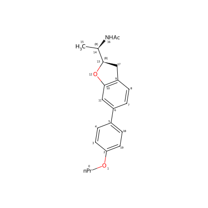 CCCOc1ccc(-c2ccc3c(c2)O[C@@H]([C@@H](C)NC(C)=O)C3)cc1